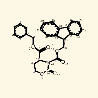 O=C(OCc1ccccc1)[C@@H]1CCO[S@](=O)N1C(=O)OCC1c2ccccc2-c2ccccc21